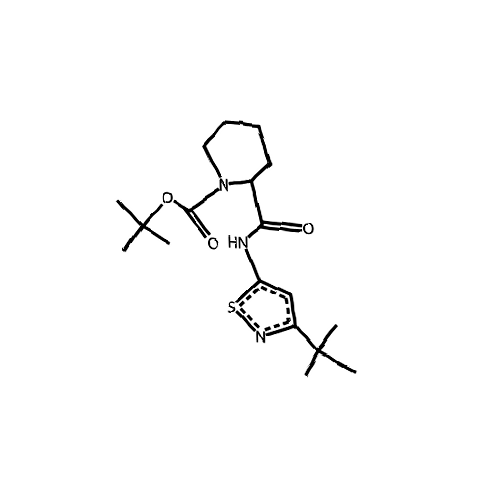 CC(C)(C)OC(=O)N1CCCCC1C(=O)Nc1cc(C(C)(C)C)ns1